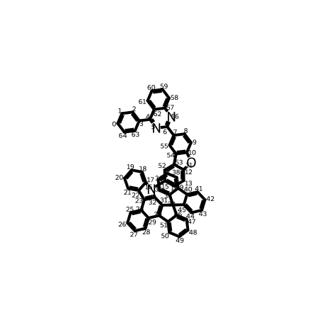 c1ccc(-c2nc(-c3ccc4oc5ccc(-n6c7ccccc7c7c8ccccc8c8c(c76)C6(c7ccccc7-c7ccccc76)c6ccccc6-8)cc5c4c3)nc3ccccc23)cc1